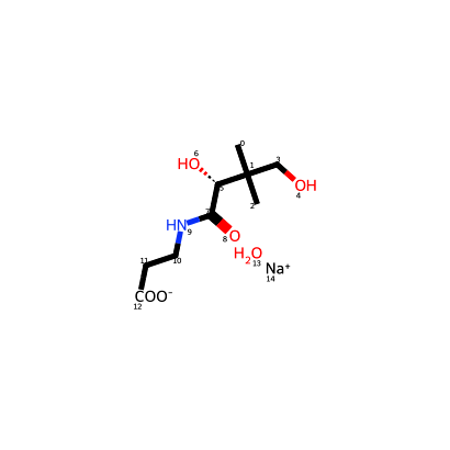 CC(C)(CO)[C@@H](O)C(=O)NCCC(=O)[O-].O.[Na+]